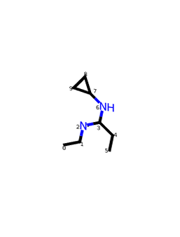 CC[N]C(CC)NC1CC1